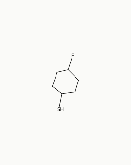 FC1CCC(S)CC1